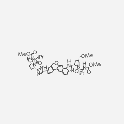 COC[C@H]1C[C@@H](c2nc3ccc4cc5c(cc4c3[nH]2)OCc2cc(-c3cnc([C@@H]4CC[C@H](C)N4C(=O)C(NC(=O)OC)C(C)C)[nH]3)ccc2-5)N(C(=O)[C@@H](NC(=O)OC)C(C)C)C1